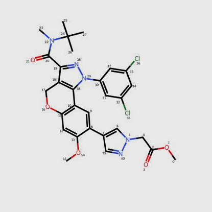 COC(=O)Cn1cc(-c2cc3c(cc2OC)OCc2c(C(=O)N(C)C(C)(C)C)nn(-c4cc(Cl)cc(Cl)c4)c2-3)cn1